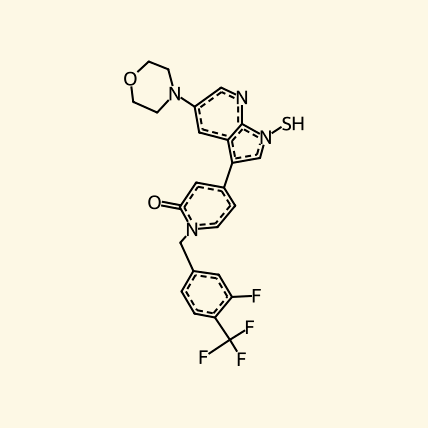 O=c1cc(-c2cn(S)c3ncc(N4CCOCC4)cc23)ccn1Cc1ccc(C(F)(F)F)c(F)c1